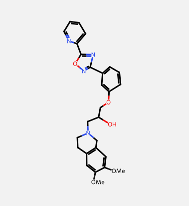 COc1cc2c(cc1OC)CN(CC(O)COc1cccc(-c3noc(-c4ccccn4)n3)c1)CC2